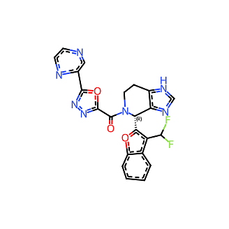 O=C(c1nnc(-c2cnccn2)o1)N1CCc2[nH]cnc2[C@@H]1c1oc2ccccc2c1C(F)F